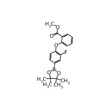 COC(=O)c1ccccc1Oc1ccc(B2OC(C)(C)C(C)(C)O2)cc1F